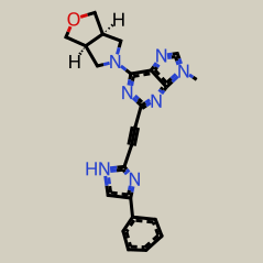 Cn1cnc2c(N3C[C@H]4COC[C@H]4C3)nc(C#Cc3nc(-c4ccccc4)c[nH]3)nc21